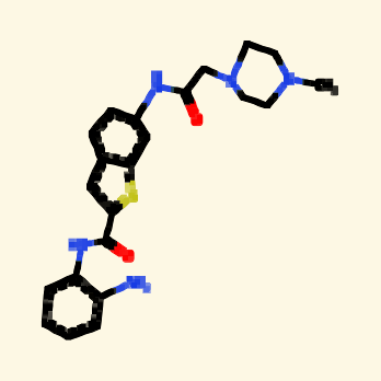 CN1CCN(CC(=O)Nc2ccc3cc(C(=O)Nc4ccccc4N)sc3c2)CC1